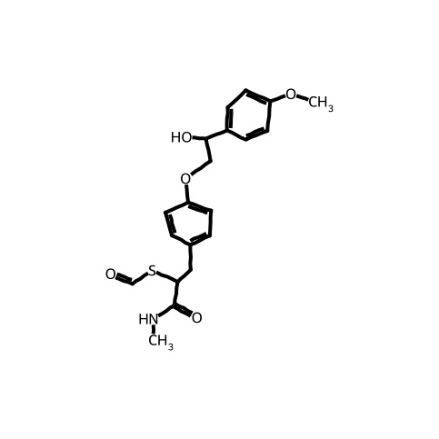 CNC(=O)C(Cc1ccc(OCC(O)c2ccc(OC)cc2)cc1)SC=O